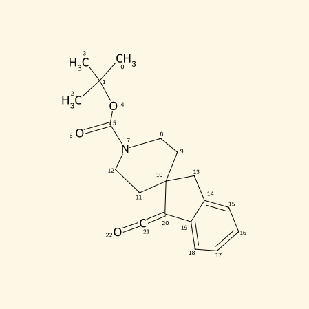 CC(C)(C)OC(=O)N1CCC2(CC1)Cc1ccccc1C2=C=O